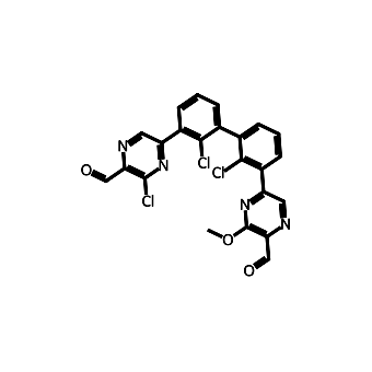 COc1nc(-c2cccc(-c3cccc(-c4cnc(C=O)c(Cl)n4)c3Cl)c2Cl)cnc1C=O